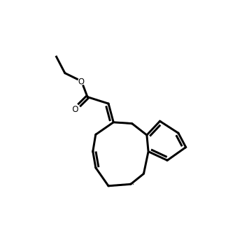 CCOC(=O)/C=C1\C/C=C\C[CH]Cc2ccccc2C1